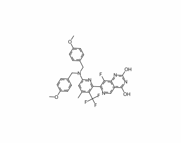 COc1ccc(CN(Cc2ccc(OC)cc2)c2cc(C)c(C(F)(F)F)c(-c3ncc4c(O)nc(O)nc4c3F)n2)cc1